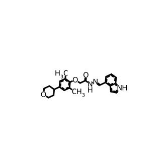 Cc1cc(C2CCOCC2)cc(C)c1OCC(=O)N/N=C/c1cccc2[nH]ccc12